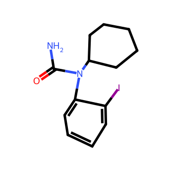 NC(=O)N(c1ccccc1I)C1CCCCC1